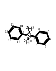 [2H][Si]([2H])(c1ccccc1)c1ccccc1